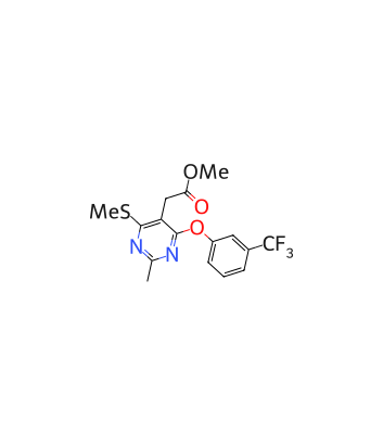 COC(=O)Cc1c(Oc2cccc(C(F)(F)F)c2)nc(C)nc1SC